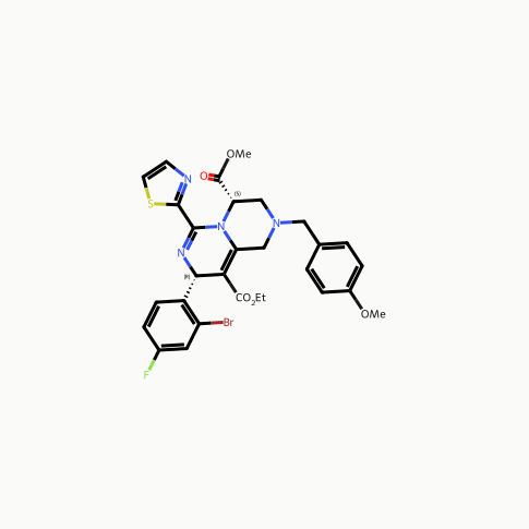 CCOC(=O)C1=C2CN(Cc3ccc(OC)cc3)C[C@@H](C(=O)OC)N2C(c2nccs2)=N[C@H]1c1ccc(F)cc1Br